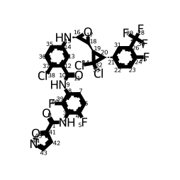 O=C(Nc1c(F)ccc(NC(=O)c2cc(N[C@@H]3OC3[C@H]3[C@H](c4ccc(F)c(C(F)(F)F)c4)C3(Cl)Cl)ccc2Cl)c1F)c1ccno1